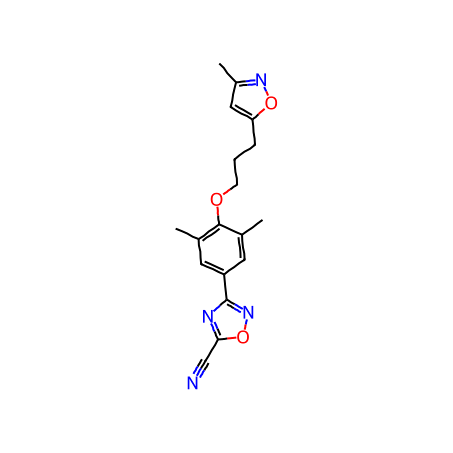 Cc1cc(CCCOc2c(C)cc(-c3noc(C#N)n3)cc2C)on1